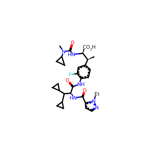 CCn1nccc1C(=O)N[C@H](C(=O)Nc1ccc([C@H](C)[C@@H](NC(=O)N(C)C2CC2)C(=O)O)cc1F)C(C1CC1)C1CC1